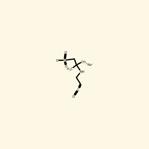 CC(C)(CS(=O)(=O)[O-])NCC=C=O.[Na+]